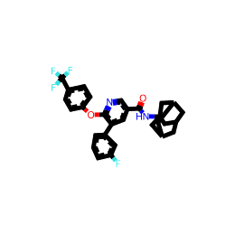 O=C(NC12CC3CC(CC(C3)C1)C2)c1cnc(Oc2ccc(C(F)(F)F)cc2)c(-c2cccc(F)c2)c1